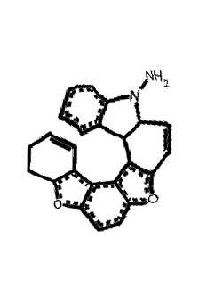 NN1c2ccccc2C2c3c(oc4ccc5oc6c(c5c34)C=CCC6)C=CC21